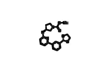 CC(C)(C)OC(=O)N1CC[C@H](Oc2cccc(-c3cccc(C4OCCO4)c3)n2)C1